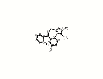 Cc1n2c(c[n+]1[O-])CN=C(c1ccccc1F)c1cc(Cl)ccc1-2